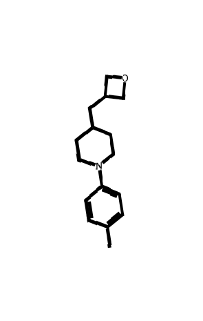 Cc1ccc(N2CCC(CC3COC3)CC2)cc1